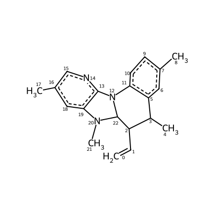 C=CC1C(C)c2cc(C)ccc2N2c3ncc(C)cc3N(C)C12